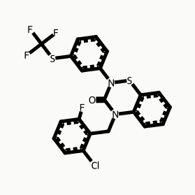 O=C1N(Cc2c(F)cccc2Cl)c2ccccc2SN1c1cccc(SC(F)(F)F)c1